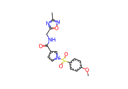 COc1ccc(S(=O)(=O)n2ccc(C(=O)NCc3nc(C)no3)c2)cc1